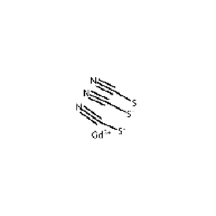 N#C[S-].N#C[S-].N#C[S-].[Gd+3]